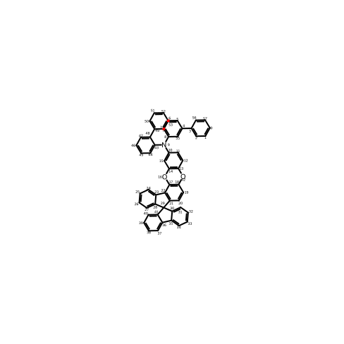 c1ccc(-c2cccc(N(c3ccc4c(c3)Oc3c(ccc5c3-c3ccccc3C53c5ccccc5-c5ccccc53)O4)c3ccccc3-c3ccccc3)c2)cc1